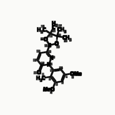 COc1cc(OC)c(C)c(-n2nc(B3OC(C)(C)C(C)(C)O3)ccc2=O)c1